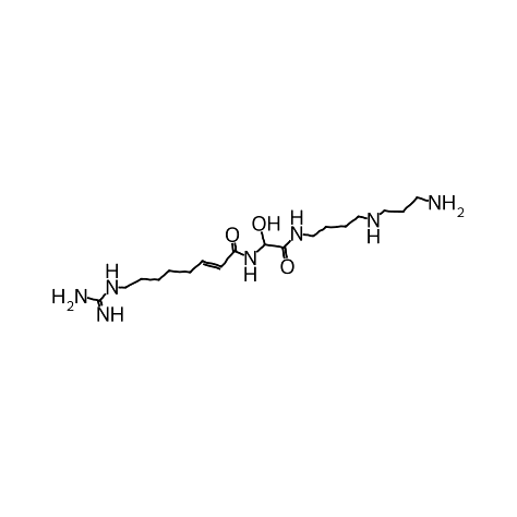 N=C(N)NCCCCCC=CC(=O)NC(O)C(=O)NCCCCNCCCN